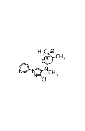 CC(CC(=O)N(C)c1cn(-c2cccnc2)nc1Cl)S(C)(=O)=O